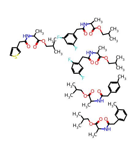 CC(C)COC(=O)C(C)NC(=O)Cc1cc(F)cc(F)c1.CC(C)COC(=O)C(C)NC(=O)Cc1cc(F)ccc1F.CC(C)COC(=O)C(C)NC(=O)Cc1ccsc1.Cc1ccc(CC(=O)NC(C)C(=O)OCC(C)C)cc1.Cc1cccc(CC(=O)NC(C)C(=O)OCC(C)C)c1